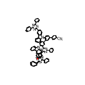 N#Cc1ccc(-c2ccc(-n3c4ccccc4c4cc(-c5nc(-c6ccccc6)nc(-c6ccccc6)n5)ccc43)c(-c3ccc(-n4c5ccccc5c5cc(-c6nc(-c7ccccc7)nc(-c7ccccc7)n6)ccc54)c(-c4nc(-c5ccccc5)nc(-c5ccccc5)n4)c3)c2)cc1